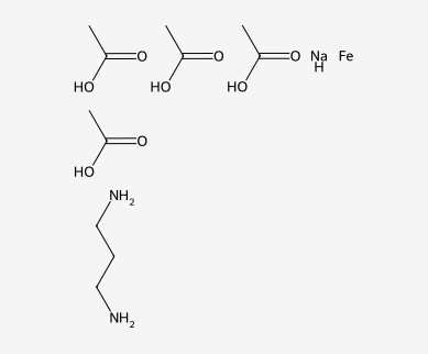 CC(=O)O.CC(=O)O.CC(=O)O.CC(=O)O.NCCCN.[Fe].[NaH]